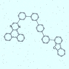 c1cc(-c2ccc(-c3cccc(-c4cccc5c4oc4ccccc45)c3)cc2)cc(-c2cccc(-c3cnc4c5ccccc5c5ccccc5c4n3)c2)c1